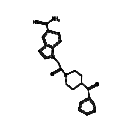 N=C(N)c1ccc2c(ccn2CC(=O)N2CCC(C(=O)c3ccccc3)CC2)c1